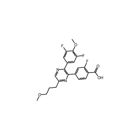 COCCCc1cnc(-c2cc(F)c(OC)c(F)c2)c(-c2ccc(C(=O)O)c(F)c2)n1